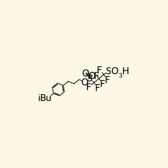 CCC(C)c1ccc(CCCOS(=O)(=O)C(F)(F)C(F)(F)C(F)(F)S(=O)(=O)O)cc1